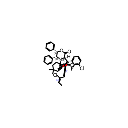 C=C1/C(=C\C(Cl)=C/C)NC(=O)[C@@]12[C@@H](c1cccc(Cl)c1F)[C@@H]1C(=O)O[C@@H](c3ccccc3)[C@@H](c3ccccc3)N1C21CCC(C)(C)CC1